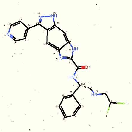 O=C(N[C@H](CNCC(F)F)c1ccccc1)c1nc2cc3c(-c4ccncc4)n[nH]c3cc2[nH]1